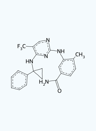 Cc1ccc(C(N)=O)cc1Nc1ncc(C(F)(F)F)c(NC2(c3ccccc3)CC2)n1